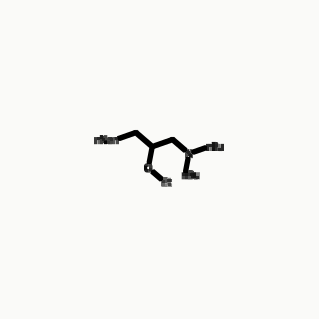 CCCCCCCCCCC(CN(CCCC)CCCC)OCC